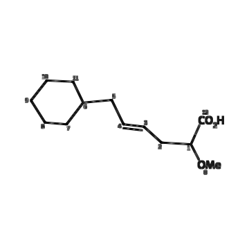 COC(CC=CCC1CCCCC1)C(=O)O